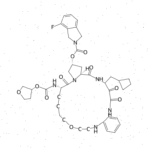 O=C(N[C@H]1CCCCOCCNc2ccccc2NC(=O)C(=O)C(CC2CCC2)NC(=O)[C@@H]2C[C@@H](OC(=O)N3Cc4cccc(F)c4C3)CN2C1=O)OC1CCOC1